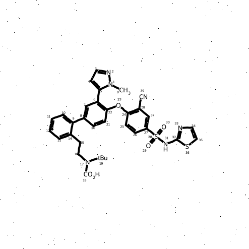 Cn1nccc1-c1cc(-c2ccccc2CCN(C(=O)O)C(C)(C)C)ccc1Oc1ccc(S(=O)(=O)Nc2nccs2)cc1C#N